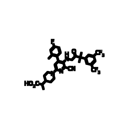 Cc1cc(F)ccc1-c1cc(N2CCC(C(C)C(=O)O)CC2)nc(C#N)c1NCC(=O)C(C)(C)c1cc(C(F)(F)F)cc(C(F)(F)F)c1